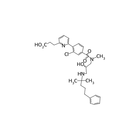 CN(C[C@H](O)CNC(C)(C)CCCc1ccccc1)S(=O)(=O)c1ccc(-c2cccc(CCC(=O)O)n2)c(Cl)c1